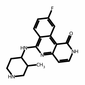 CC1CNCCC1Nc1nc2cc[nH]c(=O)c2c2cc(F)ccc12